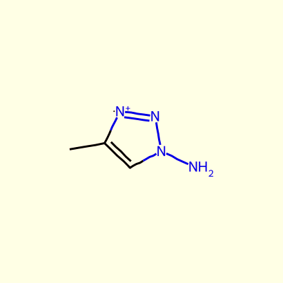 CC1=CN(N)N=[N+]1